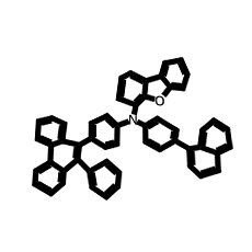 c1ccc(-c2c(-c3ccc(N(c4ccc(-c5cccc6ccccc56)cc4)c4cccc5c4oc4ccccc45)cc3)c3ccccc3c3ccccc23)cc1